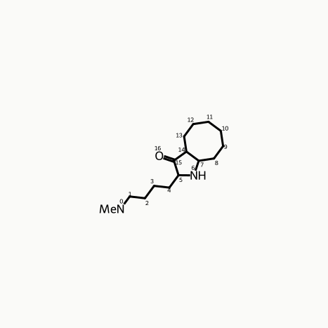 CNCCCCC1NC2CCCCCCC2C1=O